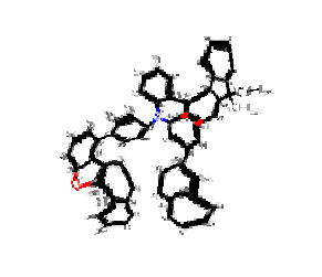 CC1(C)c2ccccc2-c2c(-c3ccccc3N(c3ccc(-c4cccc5oc6c7ccccc7ccc6c45)cc3)c3cccc(-c4ccc5ccccc5c4)c3)cccc21